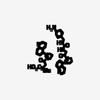 CC(C)(C)N(CC(=O)N1CCCN1c1cccc2ncccc12)C(=O)O.Nc1ccc(CNC(=O)NCC(=O)N2CCCN2c2cccc3ncccc23)cc1